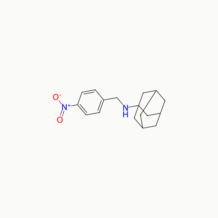 O=[N+]([O-])c1ccc(CNC23CC4CC(CC(C4)C2)C3)cc1